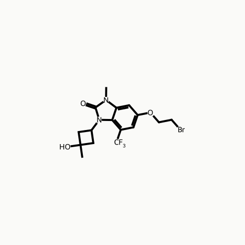 Cn1c(=O)n(C2CC(C)(O)C2)c2c(C(F)(F)F)cc(OCCBr)cc21